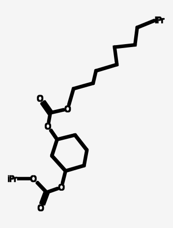 CC(C)CCCCCCCOC(=O)OC1CCCC(OC(=O)OC(C)C)C1